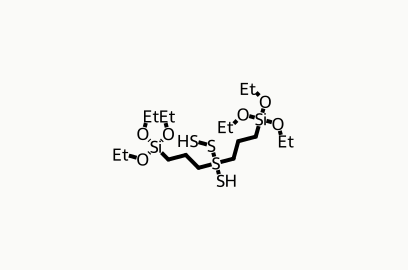 CCO[Si](CCCS(S)(CCC[Si](OCC)(OCC)OCC)SS)(OCC)OCC